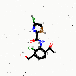 CC(=O)c1ccc(CO)c(Cl)c1NC(=O)c1nc(Br)cs1